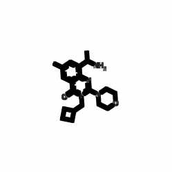 Cc1cc(C(C)N)c2nc(N3CCOCC3)n(CC3CCC3)c(=O)c2c1